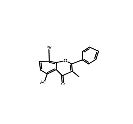 CC(=O)c1ccc(Br)c2oc(-c3ccccc3)c(C)c(=O)c12